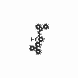 Oc1c(C/C=C/C2=C[C@H](c3ccccc3)c3ccccc32)cccc1C1=CC=C(N(c2ccccc2)c2ccccc2)CC1